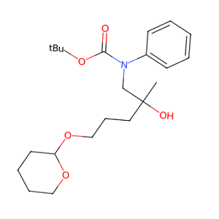 CC(O)(CCCOC1CCCCO1)CN(C(=O)OC(C)(C)C)c1ccccc1